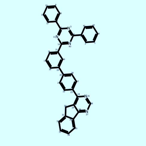 c1ccc(-c2nc(-c3ccccc3)nc(-c3cccc(-c4ccc(-c5ncnc6c5Cc5ccccc5-6)cc4)c3)n2)cc1